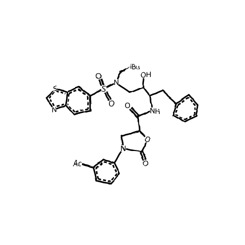 CC[C@H](C)CN(CC(O)C(Cc1ccccc1)NC(=O)C1CN(c2cccc(C(C)=O)c2)C(=O)O1)S(=O)(=O)c1ccc2ncsc2c1